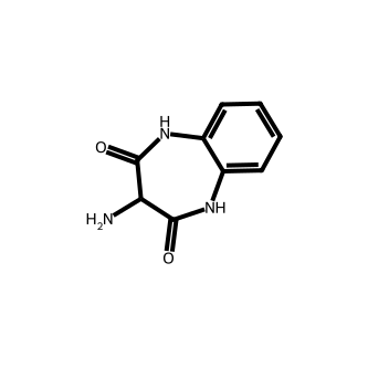 NC1C(=O)Nc2ccccc2NC1=O